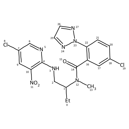 CCC(CNc1ncc(Cl)cc1[N+](=O)[O-])N(C)C(=O)c1cc(Cl)ccc1-n1nccn1